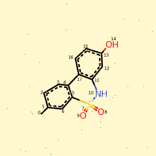 Cc1ccc2c(c1)S(=O)(=O)Nc1cc(O)ccc1-2